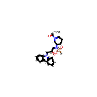 COC(=O)N1CCCC(N(CC(O)Cn2c3ccccc3c3ccccc32)S(C)(=O)=O)C1